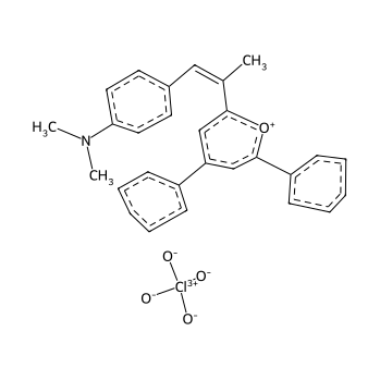 CC(=Cc1ccc(N(C)C)cc1)c1cc(-c2ccccc2)cc(-c2ccccc2)[o+]1.[O-][Cl+3]([O-])([O-])[O-]